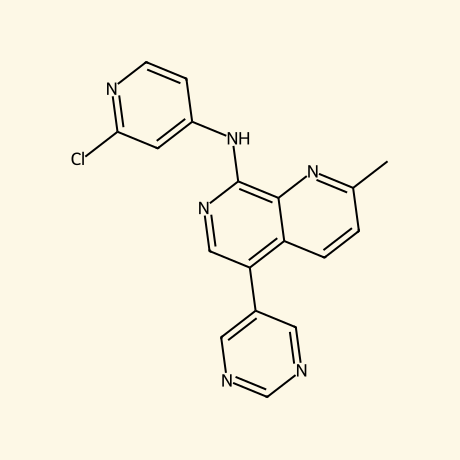 Cc1ccc2c(-c3cncnc3)cnc(Nc3ccnc(Cl)c3)c2n1